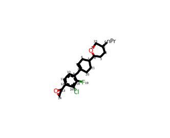 CCCC1CCC(C2CC=C(c3ccc(C4CO4)c(Cl)c3F)CC2)OC1